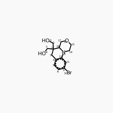 OCC1(CO)Cc2ccc(Br)cc2N2CCOCC21